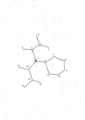 CC(C)C(C)B(C1CCCCC1)C(C)C(C)C